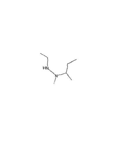 CCNN(C)C(C)CC